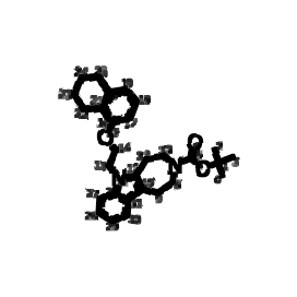 CC(C)(C)OC(=O)N1CCc2c(n(CCOc3cccc4c3CCCC4)c3ccccc23)CC1